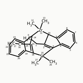 CCC1=C2c3ccccc3[CH]1[Zr]([CH3])([CH3])[CH]1C(CC)=C(c3ccccc31)[Si]2(C)C